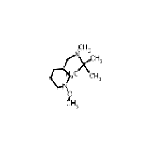 CON1CCC[C@@H](CN(C)C(C)(C)C)C1